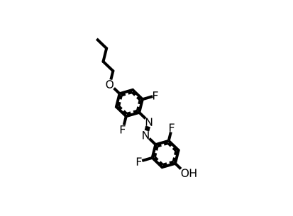 CCCCOc1cc(F)c(N=Nc2c(F)cc(O)cc2F)c(F)c1